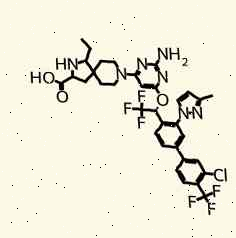 CCC1NC(C(=O)O)CC12CCN(c1cc(O[C@H](c3ccc(-c4ccc(C(F)(F)F)c(Cl)c4)cc3-n3ccc(C)n3)C(F)(F)F)nc(N)n1)CC2